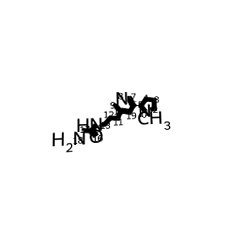 CN1CCC[C@H]1c1cncc(CCCNC(=O)CN)c1